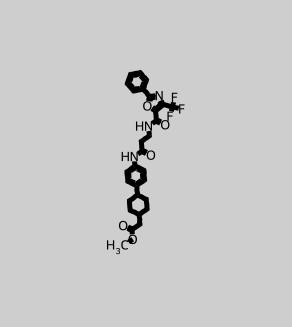 COC(=O)CC1CCC(c2ccc(NC(=O)CCNC(=O)c3oc(-c4ccccc4)nc3C(F)(F)F)cc2)CC1